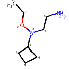 CCON(CCN)C1CCC1